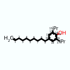 C=CCCCCCCCCc1cc(C(C)C)c(O)c(C(C)C)c1